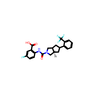 O=C(O)c1cc(F)ccc1NC(=O)N1CC2CC(c3ccccc3C(F)(F)F)C[C@H]2C1